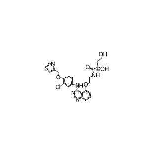 O=C(NCCOc1cccc2ncnc(Nc3ccc(OCc4cscn4)c(Cl)c3)c12)[C@H](O)CCO